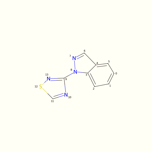 c1ccc2c(c1)cnn2-c1ncsn1